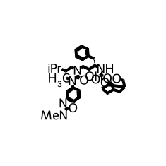 CNc1nc2cc(N(C)C(=O)N(CCC(C)C)C[C@@H](O)[C@H](Cc3ccccc3)NC(=O)O[C@H]3C4COC5OC3CC5C4)ccc2o1